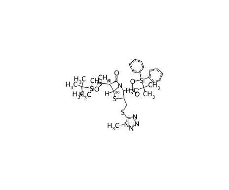 C[C@@H](O[Si](C)(C)C(C)(C)C)[C@H]1C(=O)N2C(C(=O)O[Si](c3ccccc3)(c3ccccc3)C(C)(C)C)C(CSc3nnnn3C)S[C@H]12